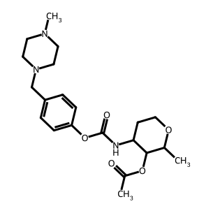 CC(=O)OC1C(NC(=O)Oc2ccc(CN3CCN(C)CC3)cc2)CCOC1C